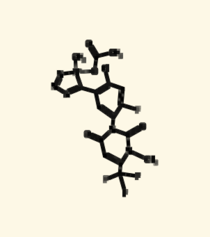 CC(=O)O[N+]1(C)N=NN=C1c1cc(-n2c(=O)cc(C(F)(F)F)n(C)c2=O)c(F)cc1Cl